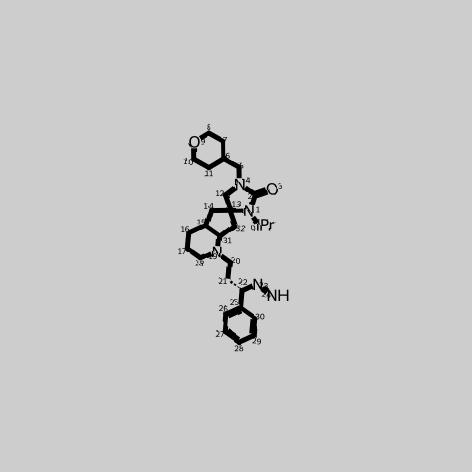 CC(C)N1C(=O)N(CC2CCOCC2)CC12CC1CCCN(CC[C@H](N=N)c3ccccc3)C1C2